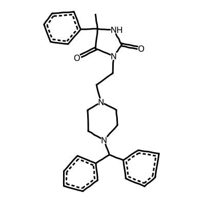 CC1(c2ccccc2)NC(=O)N(CCN2CCN(C(c3ccccc3)c3ccccc3)CC2)C1=O